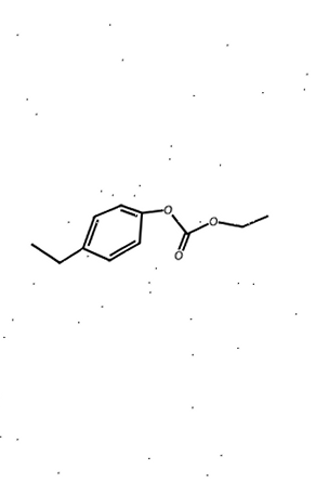 CCOC(=O)Oc1ccc(CC)cc1